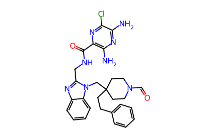 Nc1nc(N)c(C(=O)NCc2nc3ccccc3n2CC2(CCc3ccccc3)CCN(C=O)CC2)nc1Cl